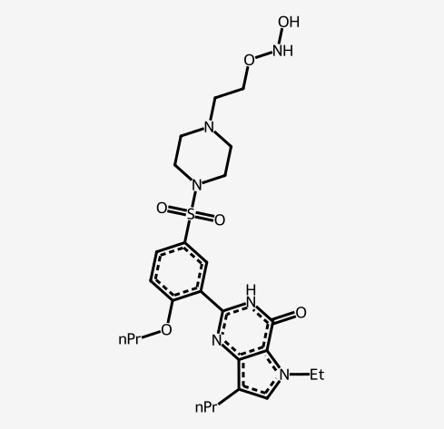 CCCOc1ccc(S(=O)(=O)N2CCN(CCONO)CC2)cc1-c1nc2c(CCC)cn(CC)c2c(=O)[nH]1